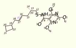 COc1nc(OC)c(C(=O)NSC[C@@H](C)C/C=C/CC2CCC2)c(OC)n1